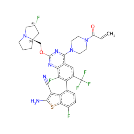 C=CC(=O)N1CCN(c2nc(OC[C@@]34CCCN3C[C@H](F)C4)nc3c(F)c(-c4ccc(F)c5sc(N)c(C#N)c45)c(C(F)(F)F)cc23)CC1